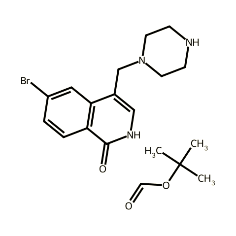 CC(C)(C)OC=O.O=c1[nH]cc(CN2CCNCC2)c2cc(Br)ccc12